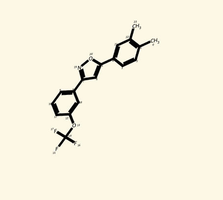 Cc1ccc(-c2cc(-c3cccc(OC(F)(F)F)c3)no2)cc1C